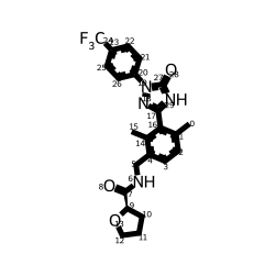 Cc1ccc(CNC(=O)[C@H]2CCCO2)c(C)c1-c1nn(-c2ccc(C(F)(F)F)cc2)c(=O)[nH]1